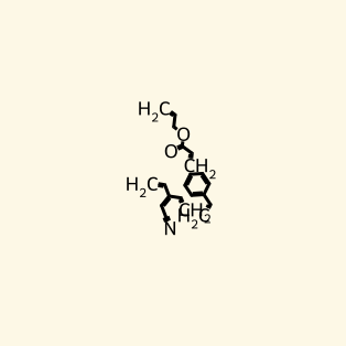 C=CC(C=C)=CC#N.C=CCOC(=O)C=C.C=Cc1ccccc1